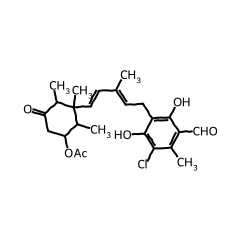 CC(=O)OC1CC(=O)C(C)C(C)(C=CC(C)=CCc2c(O)c(Cl)c(C)c(C=O)c2O)C1C